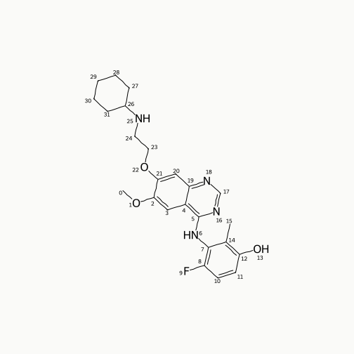 COc1cc2c(Nc3c(F)ccc(O)c3C)ncnc2cc1OCCNC1CCCCC1